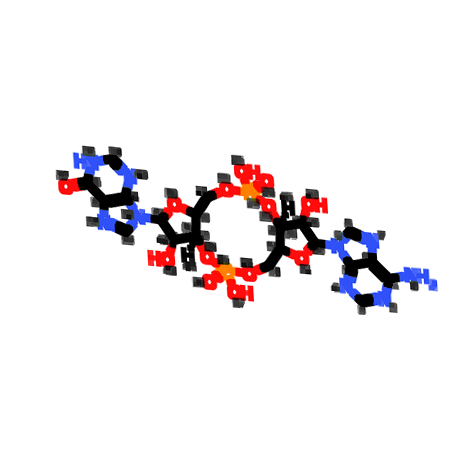 Nc1ncnc2c1ncn2C1OC2COP(=O)(O)O[C@@H]3C(COP(=O)(O)O[C@H]2[C@H]1O)OC(n1cnc2c(=O)[nH]cnc21)[C@@H]3O